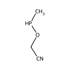 CPOCC#N